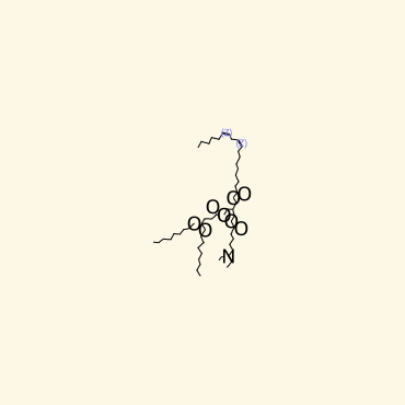 CCCCC/C=C\C/C=C\CCCCCCCC(=O)OCC(COC(=O)CCCCN(CC)CC)COC(=O)CCC(OCCCCCCCC)OCCCCCCCC